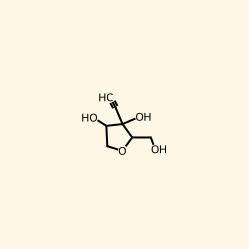 C#CC1(O)C(O)COC1CO